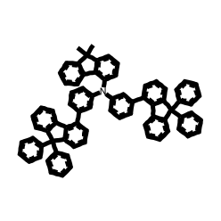 CC1(C)c2ccccc2-c2c(N(c3cccc(-c4cccc5c4-c4ccccc4C5(c4ccccc4)c4ccccc4)c3)c3cccc(-c4cccc5c4-c4ccccc4C5(c4ccccc4)c4ccccc4)c3)cccc21